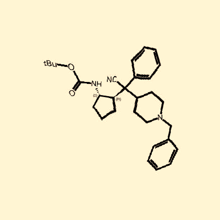 CC(C)(C)OC(=O)N[C@H]1CCC[C@@H]1C(C#N)(c1ccccc1)C1CCN(Cc2ccccc2)CC1